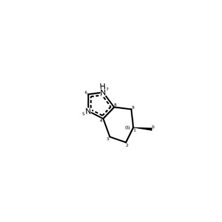 C[C@H]1CCc2nc[nH]c2C1